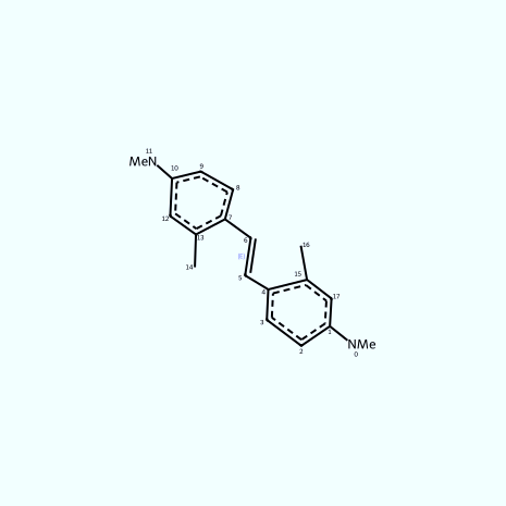 CNc1ccc(/C=C/c2ccc(NC)cc2C)c(C)c1